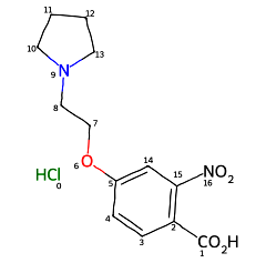 Cl.O=C(O)c1ccc(OCCN2CCCC2)cc1[N+](=O)[O-]